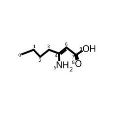 CCCC/C(N)=C/C(=O)O